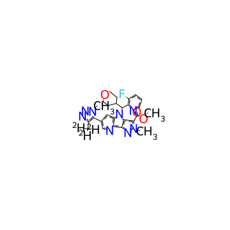 [2H]C([2H])([2H])c1nnn(C)c1-c1cnc2c3nn(C)c(C(=O)OC)c3n(C(c3ncccc3F)C3CCOCC3)c2c1